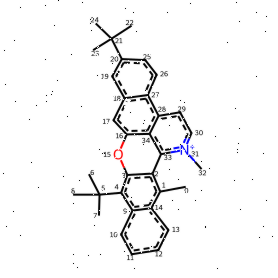 Cc1c2c(c(C(C)(C)C)c3ccccc13)Oc1cc3cc(C(C)(C)C)ccc3c3cc[n+](C)c-2c13